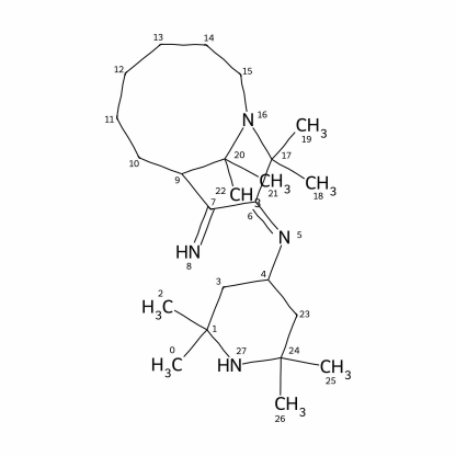 CC1(C)CC(N=C2C(=N)C3CCCCCCN(C2(C)C)C3(C)C)CC(C)(C)N1